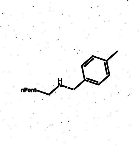 CCCCCCNCc1ccc(C)cc1